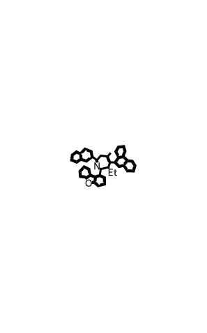 CCC1C(c2cc3ccccc3c3ccccc23)=C(C)CC(c2ccc3ccccc3c2)=NC1c1cccc2oc3ccccc3c12